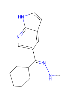 CNN=C(c1cnc2[nH]ccc2c1)C1CCCCC1